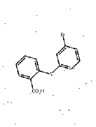 O=C(O)c1ccccc1Sc1cccc(Br)c1